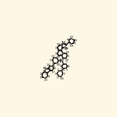 c1ccc(-c2cccc(N(c3cccc(-c4ccc5c(c4)sc4ccccc45)c3)c3cccc4c3ccc3ccc5nc(-c6ccccc6)sc5c34)c2)cc1